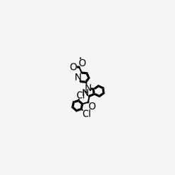 COC(=O)c1ccc(-n2nc(C(=O)c3c(Cl)cccc3Cl)c3ccccc32)cn1